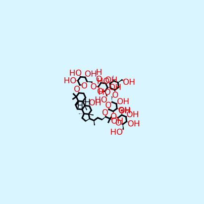 C[C@@H]1[C@@H](CO)C[C@@H](OC[C@H]2O[C@@H](O[C@H](CC[C@@H](C)[C@H]3CC[C@@]4(C)[C@@H]5CC=C6[C@@H](CC[C@H](O[C@@H]7O[C@H](CO[C@@H]8O[C@H](CO)[C@@H](O)[C@H](O)[C@H]8O)[C@@H](O)[C@H](O)[C@H]7O)C6(C)C)[C@]5(C)[C@H](O)C[C@]34C)C(C)(C)O)[C@H](O[C@@H]3O[C@H](CO)[C@@H](O)[C@H](O)[C@H]3O)[C@@H](O)[C@@H]2O)[C@H](O)[C@H]1O